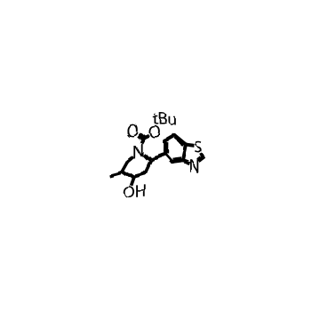 CC1CN(C(=O)OC(C)(C)C)C(c2ccc3scnc3c2)CC1O